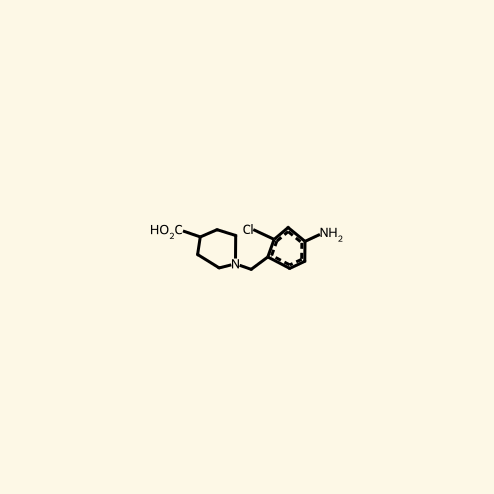 Nc1ccc(CN2CCC(C(=O)O)CC2)c(Cl)c1